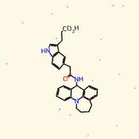 O=C(O)CCc1c[nH]c2ccc(CC(=O)NC(c3ccccc3)c3ccccc3N3CCCCCC3)cc12